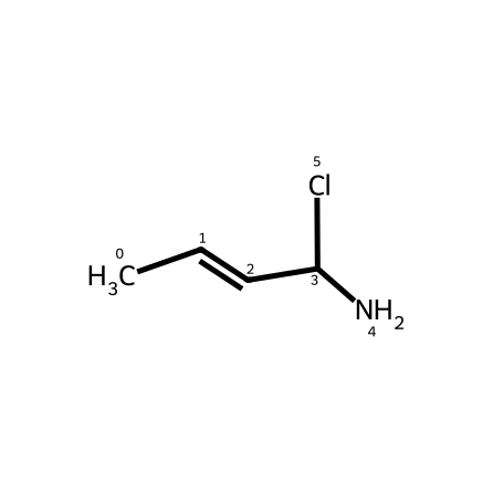 CC=CC(N)Cl